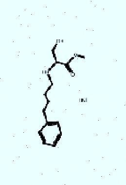 COC(=O)C(CO)NCCCCc1ccccc1.Cl